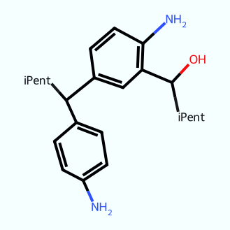 CCCC(C)C(O)c1cc(C(c2ccc(N)cc2)C(C)CCC)ccc1N